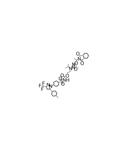 Cc1ccc(-c2cc(C(F)(F)F)nn2-c2ccc(S(=O)(=O)NC(=O)OCCN(C(C)C)/[N+]([O-])=N/OC(C)N3C(=O)c4ccccc4C3=O)cc2)cc1